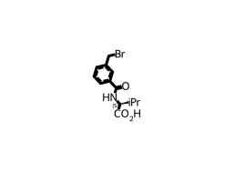 CC(C)[C@H](NC(=O)c1cccc(CBr)c1)C(=O)O